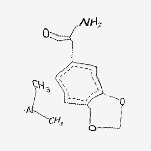 NC(=O)c1ccc2c(c1)OCO2.[CH3][Al][CH3]